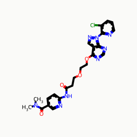 CN(C)C(=O)c1ccc(NC(=O)CCOCCOc2ncnc3c2cnn3-c2ncccc2Cl)nc1